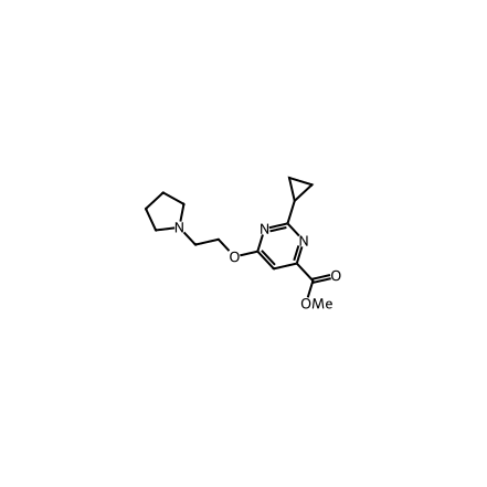 COC(=O)c1cc(OCCN2CCCC2)nc(C2CC2)n1